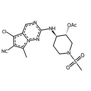 CC(=O)O[C@@H]1CN(S(C)(=O)=O)CC[C@H]1Nc1ncc2c(Cl)c(C#N)c(C)n2n1